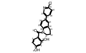 O=C(c1ccc(O)cc1O)N1CCCc2cc(-c3ccc(Cl)nc3)ccc21